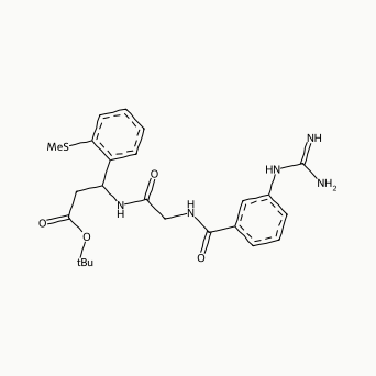 CSc1ccccc1C(CC(=O)OC(C)(C)C)NC(=O)CNC(=O)c1cccc(NC(=N)N)c1